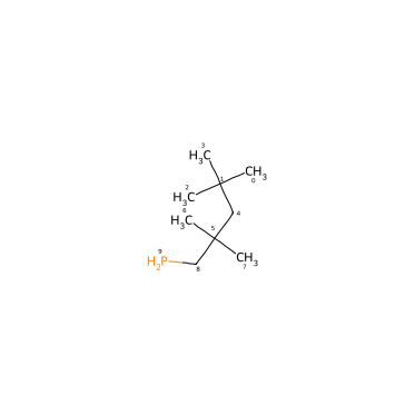 CC(C)(C)CC(C)(C)CP